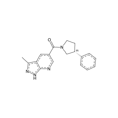 Cc1n[nH]c2ncc(C(=O)N3CC[C@H](c4ccccc4)C3)cc12